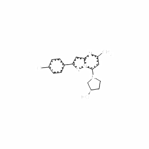 Cc1cc(N2CC[C@@H](O)C2)n2nc(-c3ccc(Cl)cc3)cc2n1